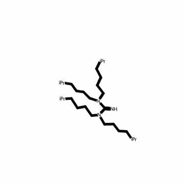 CC(C)CCCCN(CCCCC(C)C)C(=N)N(CCCCC(C)C)CCCCC(C)C